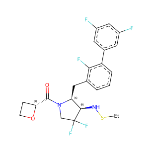 CCSN[C@@H]1[C@H](Cc2cccc(-c3cc(F)cc(F)c3)c2F)N(C(=O)[C@H]2CCO2)CC1(F)F